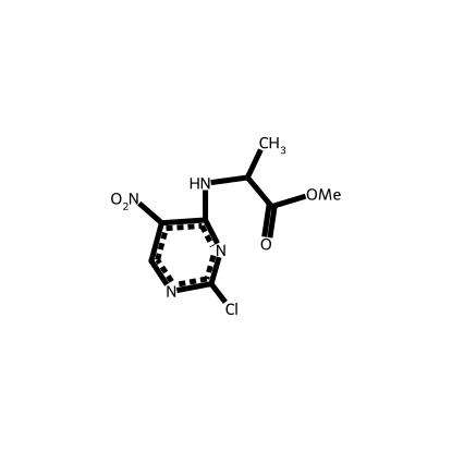 COC(=O)C(C)Nc1nc(Cl)ncc1[N+](=O)[O-]